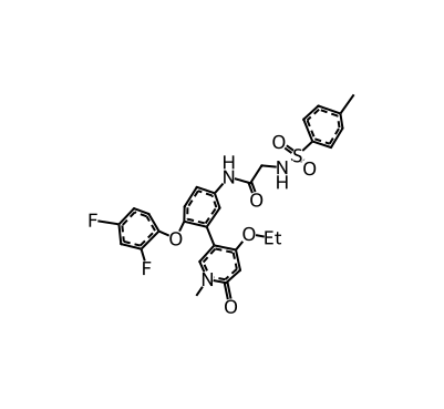 CCOc1cc(=O)n(C)cc1-c1cc(NC(=O)CNS(=O)(=O)c2ccc(C)cc2)ccc1Oc1ccc(F)cc1F